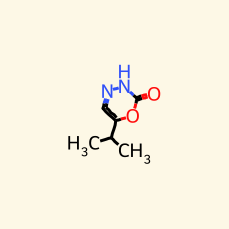 CC(C)C1=C=NNC(=O)O1